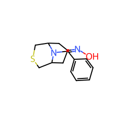 ON=C1CC2CSCC(C1)N2Cc1ccccc1